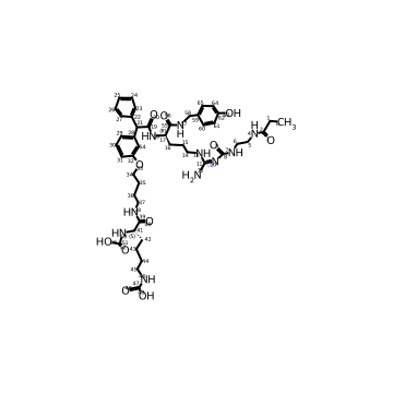 CCC(=O)NCCNC(=O)/N=C(/N)NCCC[C@@H](NC(=O)C(c1ccccc1)c1cccc(OCCCCNC(=O)[C@H](CCCCNC(=O)O)NC(=O)O)c1)C(=O)NCc1ccc(O)cc1